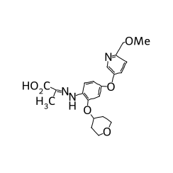 COCc1ccc(Oc2ccc(NN=C(C)C(=O)O)c(OC3CCOCC3)c2)cn1